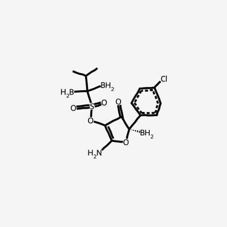 BC(B)(C(C)C)S(=O)(=O)OC1=C(N)O[C@](B)(c2ccc(Cl)cc2)C1=O